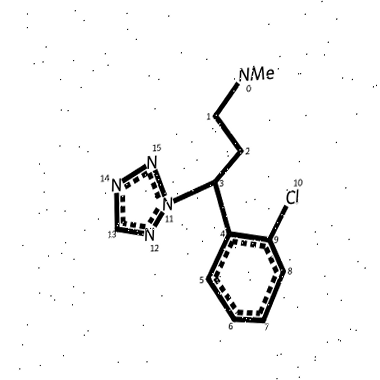 CNCCC(c1ccccc1Cl)n1ncnn1